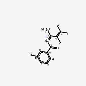 C=C(/N=C(/N)C(C)=C(C)C)c1cccc(C)c1